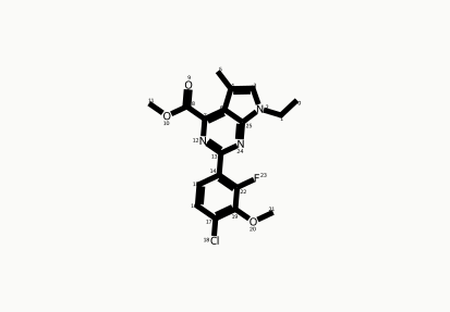 CCn1cc(C)c2c(C(=O)OC)nc(-c3ccc(Cl)c(OC)c3F)nc21